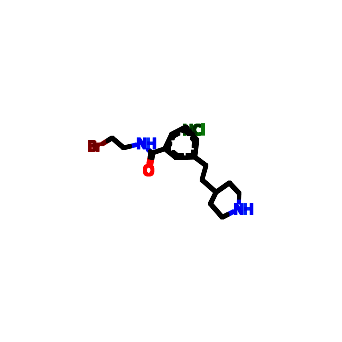 Cl.O=C(NCCBr)c1cccc(CCC2CCNCC2)c1